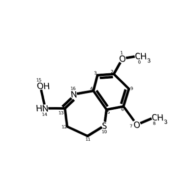 COc1cc2c(c(OC)c1)SCCC(NO)=N2